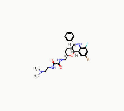 CN(C)CCNC(=O)C(=O)NC[C@H]1CC[C@@H]2[C@H](O1)c1cc(Br)cc(F)c1N[C@H]2c1ccccc1